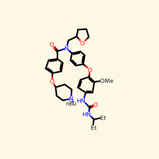 CCCCN1CCC(Oc2ccc(C(=O)N(CC3CCCO3)c3ccc(Oc4ccc(NC(=O)NC(CC)CC)cc4OC)cc3)cc2)CC1